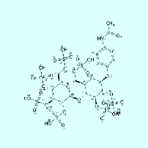 CC(=O)Nc1ccc(S[C@@H]2O[C@H](COS(=O)(=O)O)[C@@H](O[C@@H]3O[C@H](COS(=O)(=O)O)[C@@H](OS(=O)(=O)O)[C@H](OS(=O)(=O)O)[C@H]3OS(=O)(=O)O)[C@H](OS(=O)(=O)O)[C@H]2OS(=O)(=O)O)cc1